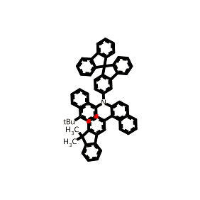 CC(C)(C)c1ccc(N(c2ccc3c(c2)-c2ccccc2C32c3ccccc3-c3ccccc32)c2ccc3ccccc3c2-c2ccc3c(c2)-c2ccccc2C3(C)C)c2ccccc12